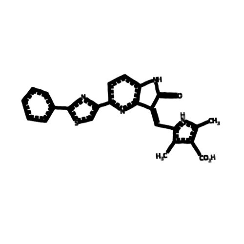 Cc1[nH]c(/C=C2\C(=O)Nc3ccc(-c4csc(-c5ccccc5)n4)nc32)c(C)c1C(=O)O